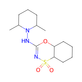 CC1CCCC(C)N1NC1=NS(=O)(=O)C2CCCCC2O1